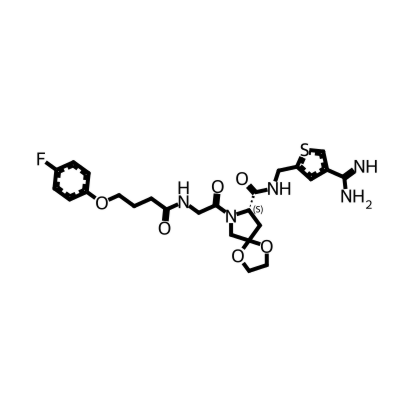 N=C(N)c1csc(CNC(=O)[C@@H]2CC3(CN2C(=O)CNC(=O)CCCOc2ccc(F)cc2)OCCO3)c1